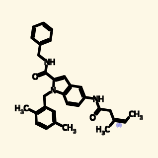 C/C=C(/C)CC(=O)Nc1ccc2c(c1)cc(C(=O)NCc1ccccc1)n2Cc1cc(C)ccc1C